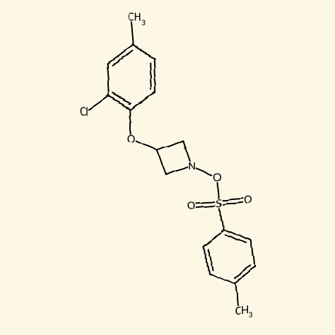 Cc1ccc(S(=O)(=O)ON2CC(Oc3ccc(C)cc3Cl)C2)cc1